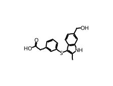 Cc1[nH]c2cc(CO)ccc2c1Sc1cccc(CC(=O)O)c1